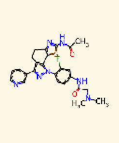 CC(=O)Nc1nc2c(s1)-c1c(c(-c3cccnc3)nn1-c1ccc(NC(=O)CN(C)C)cc1F)CC2